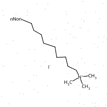 CCCCCCCCCCCCCCCCCC[N+](C)(C)C.[I-]